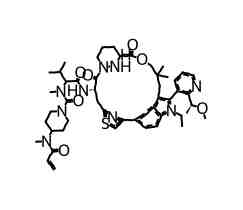 C=CC(=O)N(C)C1CCN(C(=O)N(C)C(C(=O)N[C@H]2Cc3nc(cs3)-c3ccc4c(c3)c(c(-c3cccnc3[C@H](C)OC)n4CC)CC(C)(C)COC(=O)[C@@H]3CCCN(N3)C2=O)C(C)C)CC1